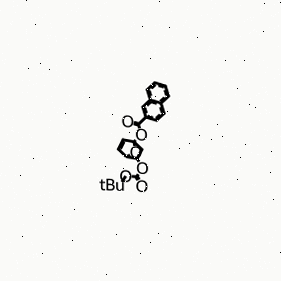 CC(C)(C)OC(=O)OC1CC2(OC(=O)c3ccc4ccccc4c3)C=CC1O2